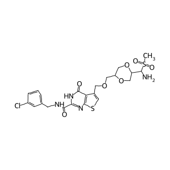 CS(=O)(=O)C(N)C1COC(COCc2csc3nc(C(=O)NCc4cccc(Cl)c4)[nH]c(=O)c23)CO1